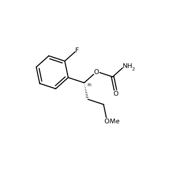 COCC[C@@H](OC(N)=O)c1ccccc1F